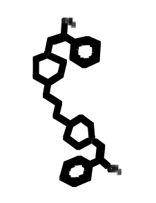 CC(=CN1CCC(CCCC2CCN(C=C(C)c3ccccc3)CC2)CC1)c1ccccc1